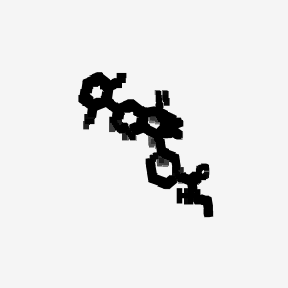 CCNC(=O)N1CCC[C@H]([C@@]23CC[C@@H](c4cc(-c5c(F)cccc5F)nnc42)C3(C)C)C1